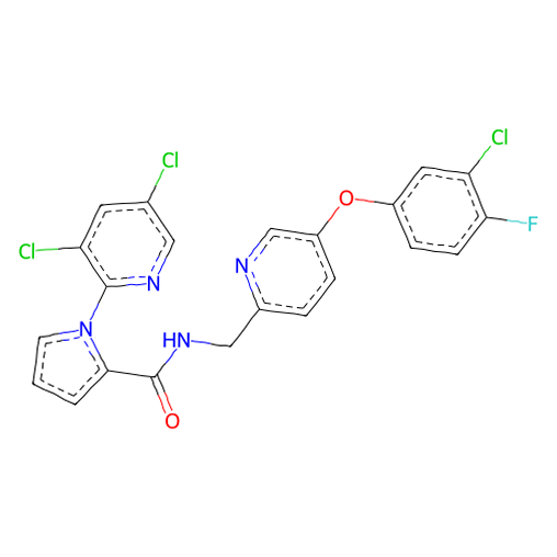 O=C(NCc1ccc(Oc2ccc(F)c(Cl)c2)cn1)c1cccn1-c1ncc(Cl)cc1Cl